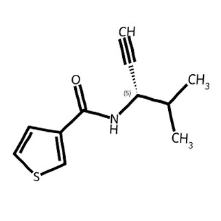 C#C[C@@H](NC(=O)c1ccsc1)C(C)C